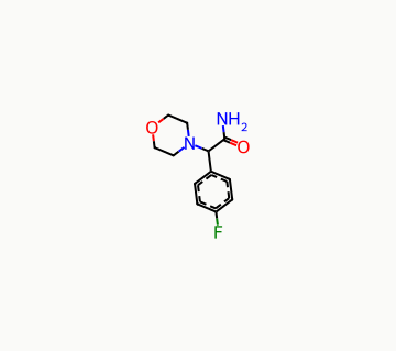 NC(=O)C(c1ccc(F)cc1)N1CCOCC1